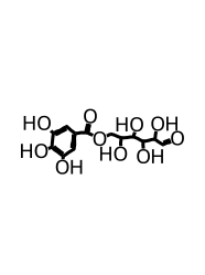 O=CC(O)C(O)C(O)C(O)COC(=O)c1cc(O)c(O)c(O)c1